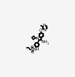 CCCS(=O)(=O)Nc1ccc(-c2c(N)c3ccc(Oc4nccnc4C)cc3n2C2CCC2)cc1